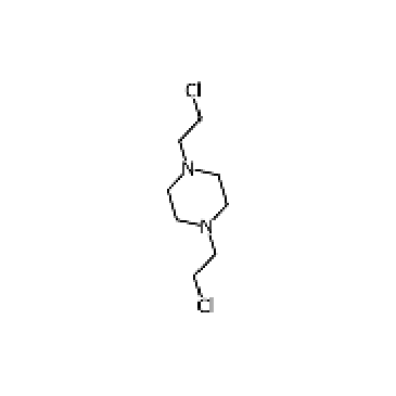 ClCCN1CCN(CCCl)CC1